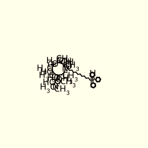 CC[C@H]1OC(=O)[C@H](C)[C@@H](O)[C@H](C)[C@@H](O[C@@H]2O[C@H](C)C[C@H](N(C)C)[C@H]2O)[C@](C)(O)C[C@@H](C)CN(C(=O)CCCCCCCCCCC[PH](c2ccccc2)(c2ccccc2)c2ccccc2)[C@H](C)[C@@H](O)[C@]1(C)O